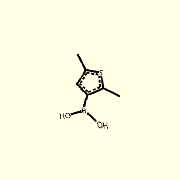 Cc1cc(B(O)O)c(C)s1